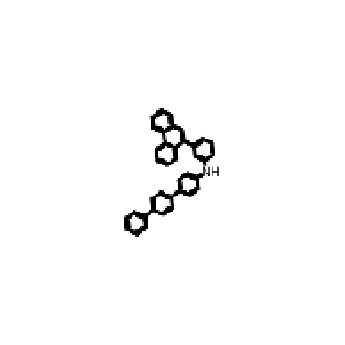 c1ccc(-c2ccc(-c3ccc(Nc4cccc(-c5cc6ccccc6c6ccccc56)c4)cc3)cc2)cc1